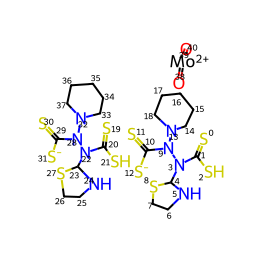 S=C(S)N(C1NCCS1)N(C(=S)[S-])N1CCCCC1.S=C(S)N(C1NCCS1)N(C(=S)[S-])N1CCCCC1.[O]=[Mo+2]=[O]